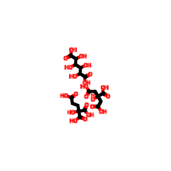 O=C(O)C(O)C(O)C(O)C(O)C(=O)O.O=C(O)CC(O)(CC(=O)O)C(=O)O.O=C(O)CCC(O)(C(=O)O)C(=O)O